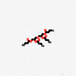 CC(=O)CCC(=O)OCC(COC[C@@H](COC(=O)CCC(C)=O)OC(=O)CCC(C)=O)OC(=O)CCC(C)=O